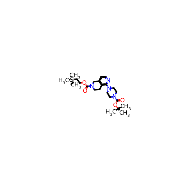 CC(C)(C)OC(=O)N1CCN(c2nccc3c2CCN(C(=O)OCC[Si](C)(C)C)C3)CC1